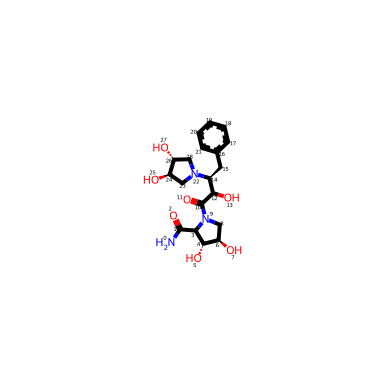 NC(=O)C1[C@@H](O)[C@H](O)CN1C(=O)C(O)[C@H](Cc1ccccc1)N1C[C@@H](O)[C@H](O)C1